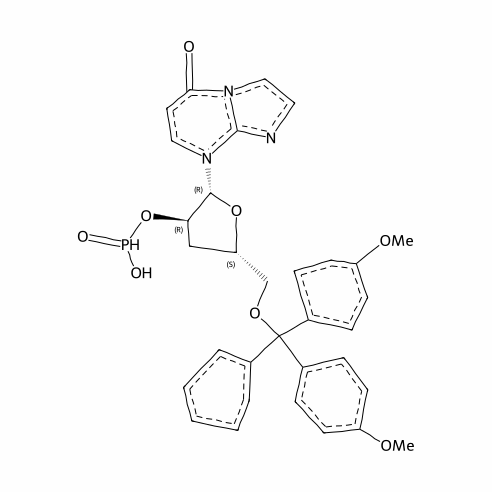 COc1ccc(C(OC[C@@H]2C[C@@H](O[PH](=O)O)[C@H](n3ccc(=O)n4ccnc34)O2)(c2ccccc2)c2ccc(OC)cc2)cc1